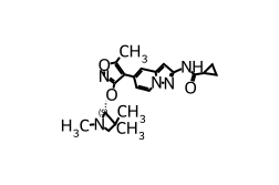 Cc1onc(OC[C@H]2N(C)CC2(C)C)c1-c1ccn2nc(NC(=O)C3CC3)cc2c1